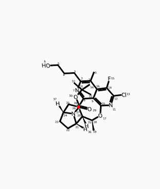 Cc1c(CCCO)nc2c3c(nc(Cl)c(F)c13)O[C@@H](C)[C@@H]1[C@@H]3CC[C@H](CN21)N3C(=O)OC(C)(C)C